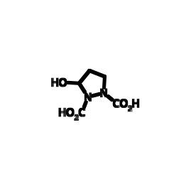 O=C(O)N1CCC(O)N1C(=O)O